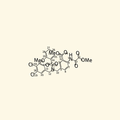 COC(=O)C(=O)Nc1ccc(CN(Cc2ccc(Cl)c(Cl)c2)S(=O)(=O)c2ccccc2OC)cc1C(=O)OC